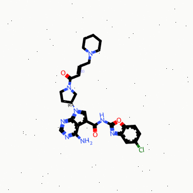 Nc1ncnc2c1c(C(=O)Nc1nc3cc(Cl)ccc3o1)cn2[C@@H]1CCN(C(=O)/C=C/CN2CCCCC2)C1